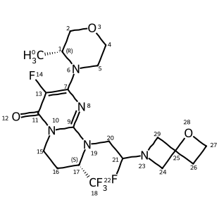 C[C@@H]1COCCN1c1nc2n(c(=O)c1F)CC[C@@H](C(F)(F)F)N2CC(F)N1CC2(CCO2)C1